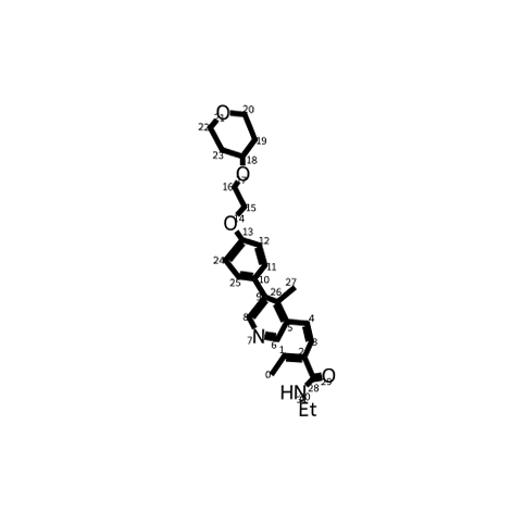 CC=C(/C=C\c1cncc(-c2ccc(OCCOC3CCOCC3)cc2)c1C)C(=O)NCC